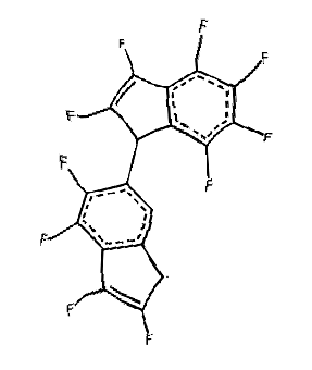 FC1=C(F)c2c(cc(C3C(F)=C(F)c4c(F)c(F)c(F)c(F)c43)c(F)c2F)[CH]1